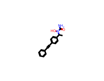 CC(c1ccc(C#Cc2ccccc2)cc1)N(O)C(N)=O